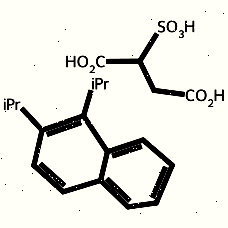 CC(C)c1ccc2ccccc2c1C(C)C.O=C(O)CC(C(=O)O)S(=O)(=O)O